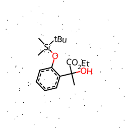 CCOC(=O)C(C)(O)c1ccccc1O[Si](C)(C)C(C)(C)C